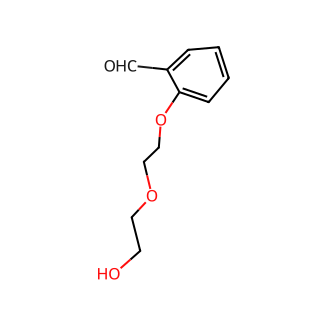 O=Cc1ccccc1OCCOCCO